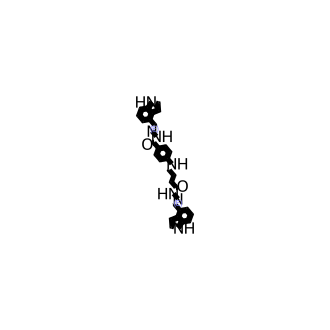 O=C(CCCNc1ccc(C(=O)N/N=C/c2cccc3[nH]ccc23)cc1)N/N=C/c1cccc2[nH]ccc12